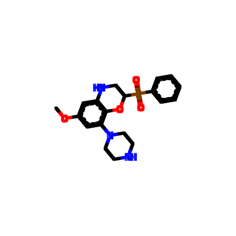 COc1cc2c(c(N3CCNCC3)c1)OC(S(=O)(=O)c1ccccc1)CN2